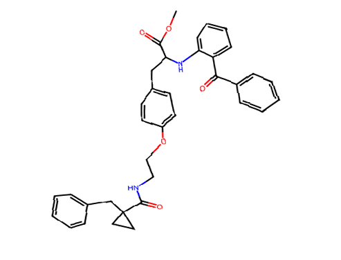 COC(=O)C(Cc1ccc(OCCNC(=O)C2(Cc3ccccc3)CC2)cc1)Nc1ccccc1C(=O)c1ccccc1